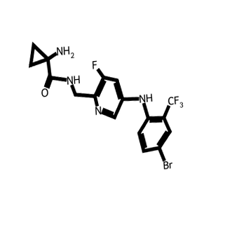 NC1(C(=O)NCc2ncc(Nc3ccc(Br)cc3C(F)(F)F)cc2F)CC1